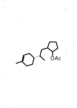 CC(=O)OC1CCCC1CC(C)[C@H]1CC=C(C)CC1